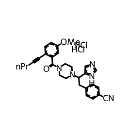 CCCC#Cc1ccc(OC)cc1C(=O)N1CCN(C(Cc2ccc(C#N)cc2)c2cnc[nH]2)CC1.Cl.Cl